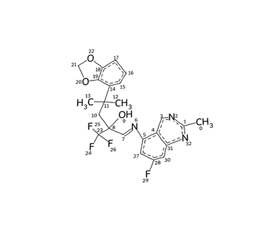 Cc1ncc2c(N=CC(O)(CC(C)(C)c3cccc4c3OCO4)C(F)(F)F)cc(F)cc2n1